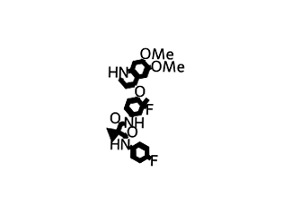 COC1=CC2=C(CC1OC)NCC=C2OC1=CC=C(NC(=O)C2(C(=O)NC3=CCC(F)C=C3)CC2)CC1(C)F